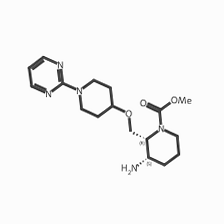 COC(=O)N1CCC[C@H](N)[C@@H]1COC1CCN(c2ncccn2)CC1